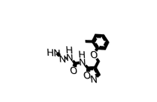 Cc1ccccc1OCc1cnoc1NC(=O)NN=N